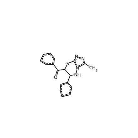 Cc1nnc2n1NC(c1ccccc1)C(C(=O)c1ccccc1)S2